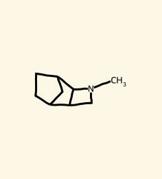 CN1CC2C3CCC(C3)C21